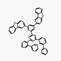 c1ccc(-c2cccc(-c3nc(-c4cc(-c5ccc6oc7ccccc7c6c5)cc(-c5ccc6oc7ccccc7c6c5)c4)nc(-c4ccccc4-c4cccnc4)n3)c2)cc1